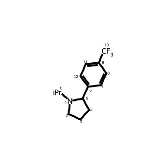 CC(C)N1CCCC1c1ccc(C(F)(F)F)cc1